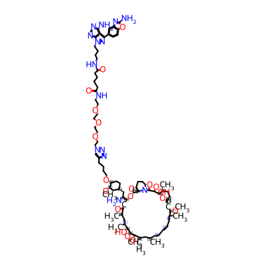 CO[C@H]1C[C@@H]2CC[C@@H](C)[C@@](O)(O2)C(=O)C(=O)N2CCCC[C@H]2C(=O)O[C@H]([C@H](N)C[C@@H]2CC[C@@H](OCCCCc3cn(CCOCCOCCOCCNC(=O)CCCCC(=O)NCCCCn4nc(-c5ccc6oc(N)nc6c5)c5c(N)ncnc54)nn3)[C@H](OC)C2)CC(=O)[C@H](C)/C=C(\C)[C@@H](O)[C@@H](OC)C(=O)[C@H](C)C[C@H](C)/C=C/C=C/C=C/1C